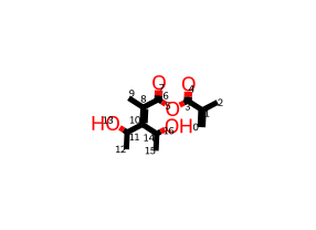 C=C(C)C(=O)OC(=O)C(C)=C(C(C)O)C(C)O